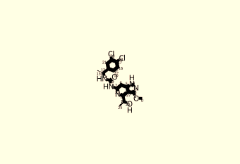 COc1n[nH]c2cc(NC(=O)N[C@H](C)c3ccc(Cl)c(Cl)c3)nc([C@H](C)O)c12